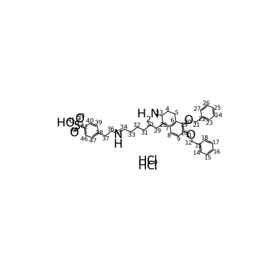 Cl.Cl.NC1CCc2c(ccc(OCc3ccccc3)c2OCc2ccccc2)C1CCCCCCNCCc1ccc(S(=O)(=O)O)cc1